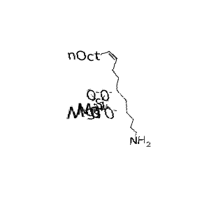 CCCCCCCC/C=C\CCCCCCCCN.[Mg+2].[Mg+2].[O-][Si]([O-])([O-])[O-]